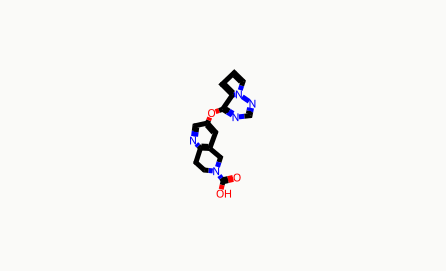 O=C(O)N1CCc2ncc(Oc3ncnn4cccc34)cc2C1